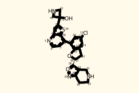 OC1(c2cc3nccc(-c4cc(Cl)cc5c4O[C@@H](c4onc6c4CNCC6)C5)c3s2)CNC1